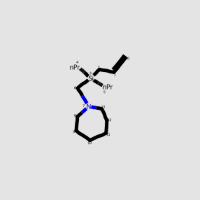 C=CC[Si](CCC)(CCC)CN1CCCCCC1